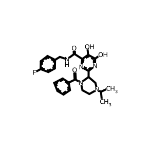 CC(C)N1CCN(C(=O)c2ccccc2)C(c2nc(O)c(O)c(C(=O)NCc3ccc(F)cc3)n2)C1